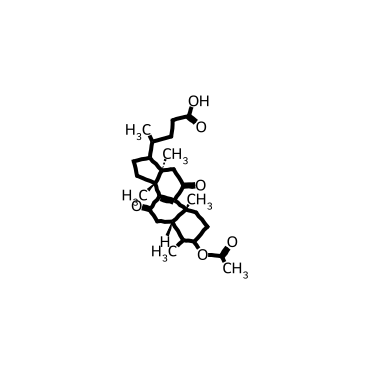 CC(=O)OC1CC[C@]2(C)C3=C(C(=O)C[C@H]2C1C)[C@]1(C)CCC(C(C)CCC(=O)O)[C@@]1(C)CC3=O